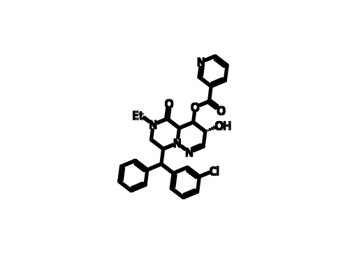 CCN1CC(C(c2ccccc2)c2cccc(Cl)c2)N2N=C[C@@H](O)C(OC(=O)c3cccnc3)C2C1=O